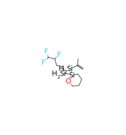 C=C(C)[SiH2][Si]1([SiH2]CCC(F)C(F)F)CCCCO1